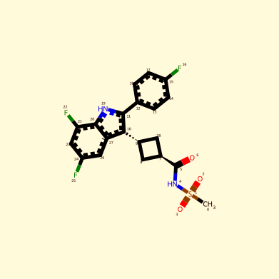 CS(=O)(=O)NC(=O)[C@H]1C[C@H](c2c(-c3ccc(F)cc3)[nH]c3c(F)cc(F)cc32)C1